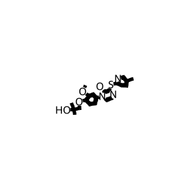 COc1cc(-n2ccnc(Sc3ccc(C)cn3)c2=O)ccc1OCC(C)(C)O